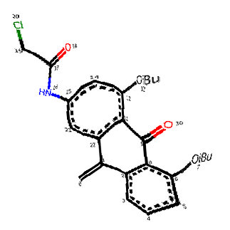 C=C1c2cccc(OCC(C)C)c2C(=O)c2c(OCC(C)C)cc(NC(=O)CCl)cc21